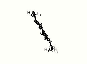 C=C(C)C(=O)OCCCCOc1ccc(C(=O)Oc2ccc(CCOC(=O)c3ccc(OC(=O)c4ccc(OCCCCOC(=O)C(=C)C)cc4)cc3)cc2)cc1